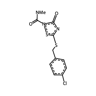 CNC(=O)n1sc(SCc2ccc(Cl)cc2)nc1=O